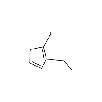 CCC1=[C]([Ir])CC=C1